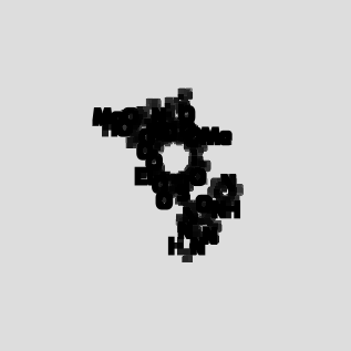 CC[C@H]1OC(=O)[C@H](C)[C@@H](O[C@H]2C[C@@](C)(OC)[C@@H](O)[C@H](C)O2)[C@H](C)[C@@H](O[C@@H]2O[C@H](C)C[C@H](N(C)C)[C@H]2O)[C@](C)(OC)C[C@@H](C)C(=O)[C@H](C)[C@H]2[C@H](SCCn3cnc4c(N)ncc(C(=O)Nc5ccncc5)c43)C(=O)O[C@@]21C